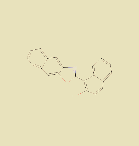 Oc1ccc2ccccc2c1-c1nc2cc3ccccc3cc2o1